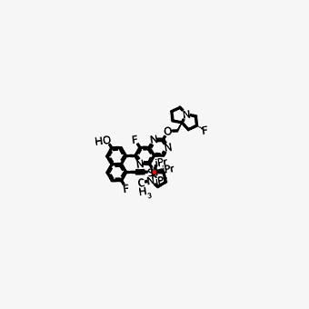 CC(C)[Si](C#Cc1c(F)ccc2cc(O)cc(-c3nc(N4CCCN4C)c4cnc(OC[C@@]56CCCN5C[C@H](F)C6)nc4c3F)c12)(C(C)C)C(C)C